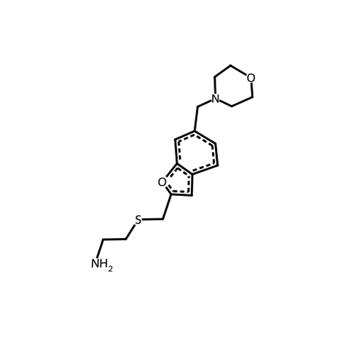 NCCSCc1cc2ccc(CN3CCOCC3)cc2o1